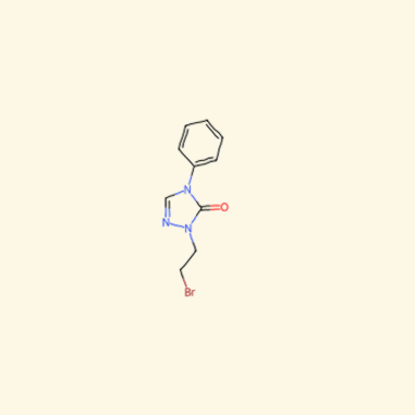 O=c1n(-c2ccccc2)cnn1CCBr